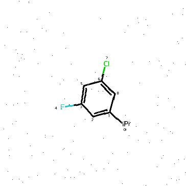 CC(C)c1cc(F)cc(Cl)c1